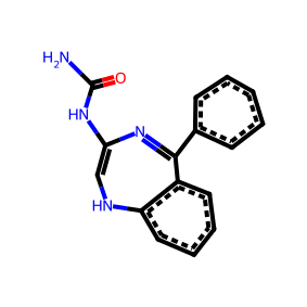 NC(=O)NC1=CNc2ccccc2C(c2ccccc2)=N1